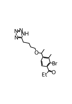 CCC(=O)c1ccc(C(C)OCCCCc2nnn[nH]2)c(C)c1Br